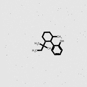 CCC(C)(C)C1CCCC(C)C1c1ccccc1O